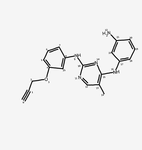 C#CCOc1cccc(Nc2ncc(C)c(Nc3cccc(N)c3)n2)c1